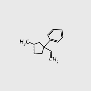 C=CC1(c2ccccc2)CCC(C)C1